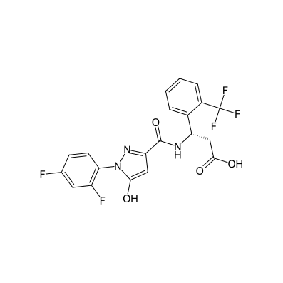 O=C(O)C[C@H](NC(=O)c1cc(O)n(-c2ccc(F)cc2F)n1)c1ccccc1C(F)(F)F